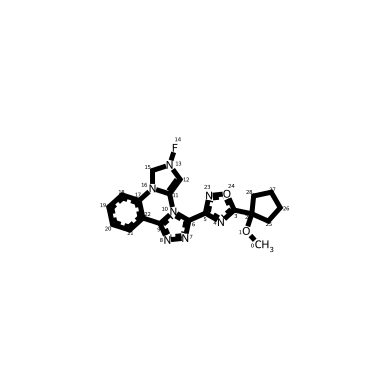 COC1(c2nc(-c3nnc4n3C3=CN(F)CN3c3ccccc3-4)no2)CCCC1